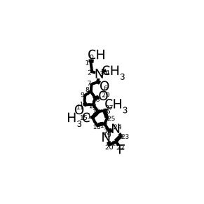 C#CCN(C)C(=O)CC1CC(=O)C(c2c(C)cc(-c3ncc(F)cn3)cc2C)C1=O